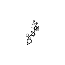 Cc1c(-c2ccc(C(=O)N3CCC4CC4C3)s2)noc1C(F)(F)F